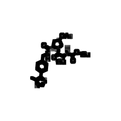 CC(=O)O[C@@H]1C[C@@H](C(=O)NCc2ccc(-c3scnc3C)cc2)N(C(=O)[C@@H](NC(=O)OC(C)(C)C)C(C)(C)C)C1